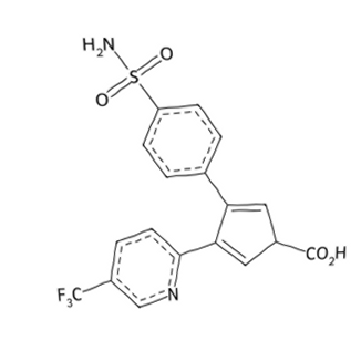 NS(=O)(=O)c1ccc(C2=CC(C(=O)O)C=C2c2ccc(C(F)(F)F)cn2)cc1